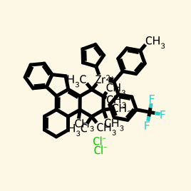 Cc1ccc([C](c2cccc(C(F)(F)F)c2)=[Zr+2]([CH]2C=CC=C2)[C]2(C)C3=C4Cc5ccccc5C4=C4C=CCCC4C3(C)C(C)(C)C(C)(C)C2(C)C)cc1.[Cl-].[Cl-]